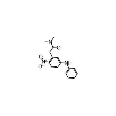 CN(C)C(=O)Cc1cc(Nc2ccccc2)ccc1[N+](=O)[O-]